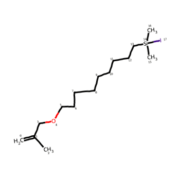 C=C(C)COCCCCCCCCC[Si](C)(C)I